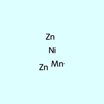 [Mn].[Ni].[Zn].[Zn]